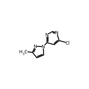 Cc1ccn(-c2cc(Cl)ncn2)n1